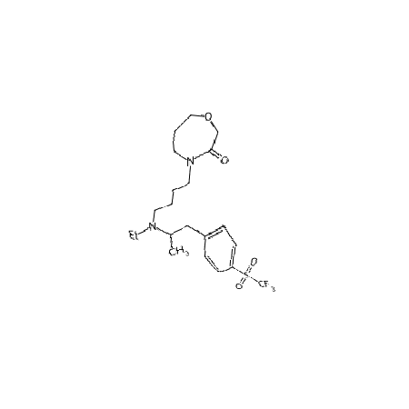 CCN(CCCCN1CCCOCC1=O)C(C)Cc1ccc(S(=O)(=O)C(F)(F)F)cc1